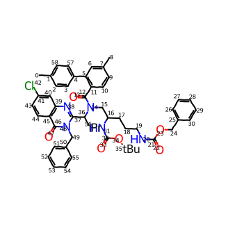 Cc1ccc(-c2cc(C)ccc2C(=O)N(CC(CCCNC(=O)OCc2ccccc2)NC(=O)OC(C)(C)C)C(c2nc3cc(Cl)ccc3c(=O)n2Cc2ccccc2)C(C)C)cc1